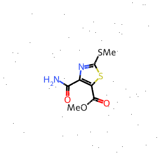 COC(=O)c1sc(SC)nc1C(N)=O